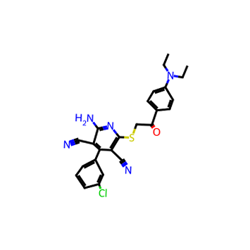 CCN(CC)c1ccc(C(=O)CSc2nc(N)c(C#N)c(-c3cccc(Cl)c3)c2C#N)cc1